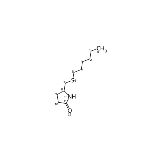 CCCCCCSCC1CCC(=O)N1